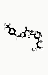 CC(NC(=O)c1cc(NCC(N)=O)ncn1)c1cnc(Nc2ccc(C(F)(F)F)cc2)s1